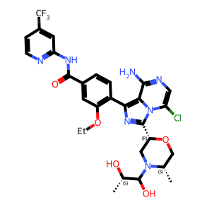 CCOc1cc(C(=O)Nc2cc(C(F)(F)F)ccn2)ccc1-c1nc([C@H]2CN(C(O)[C@H](C)O)[C@@H](C)CO2)n2c(Cl)cnc(N)c12